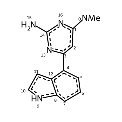 CNc1cc(-c2cccc3[nH]ccc23)nc(N)n1